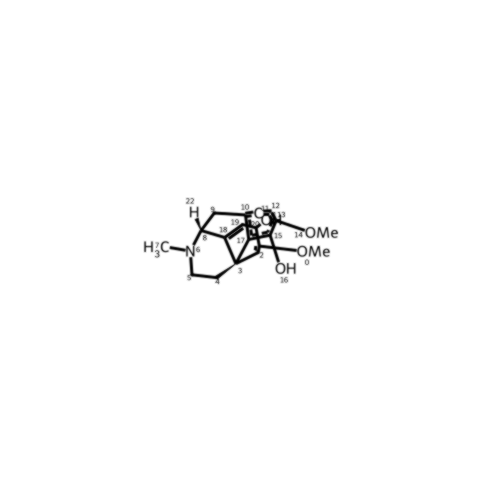 COC1=C[C@@]23CCN(C)[C@H](Cc4ccc(OC)c(O)c42)C3=CC1O